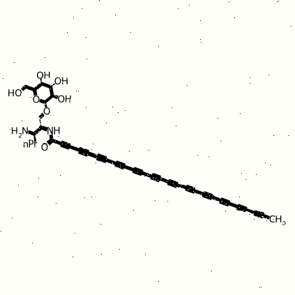 CC#CC#CC#CC#CC#CC#CC#CC#CC#CC#CC#CC#CC(=O)N[C@@H](CO[C@H]1OC(CO)[C@H](O)[C@H](O)C1O)[C@H](N)CCC